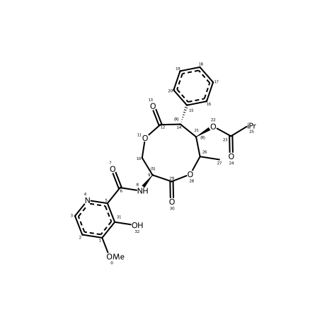 COc1ccnc(C(=O)N[C@H]2COC(=O)[C@H](c3ccccc3)[C@@H](OC(=O)C(C)C)C(C)OC2=O)c1O